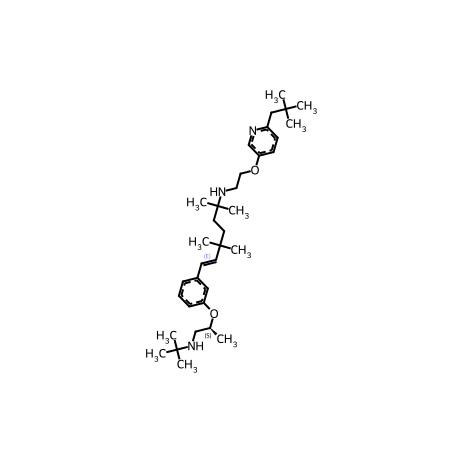 C[C@@H](CNC(C)(C)C)Oc1cccc(/C=C/C(C)(C)CCC(C)(C)NCCOc2ccc(CC(C)(C)C)nc2)c1